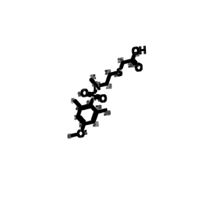 COc1cc(C)c(S(=O)(=O)N(C)CCSCC(=O)O)c(C)c1